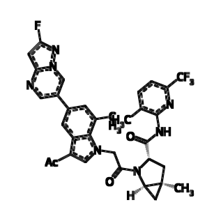 CC(=O)c1cn(CC(=O)N2[C@H](C(=O)Nc3nc(C(F)(F)F)ccc3C)C[C@@]3(C)C[C@@H]23)c2c(C)cc(-c3cnc4cc(F)nn4c3)cc12